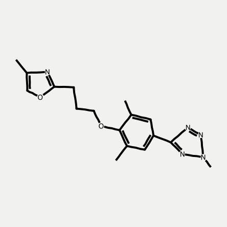 Cc1coc(CCCOc2c(C)cc(-c3nnn(C)n3)cc2C)n1